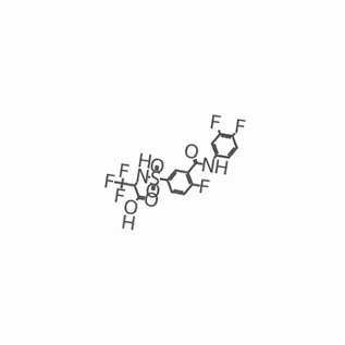 O=C(Nc1ccc(F)c(F)c1)c1cc(S(=O)(=O)NC(C(=O)O)C(F)(F)F)ccc1F